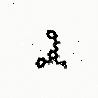 C(=NNc1ccccc1)c1ccc(Nc2ccccc2)c(CC2CO2)c1